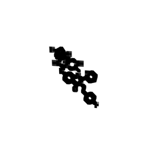 C[C@H]1CN(C(=Nc2ccc3c(=O)n(CCc4ccc(F)cc4)c(-c4ccccn4)nc3c2)NC2C[C@@H]3C[C@@H]([C@H]2C)C3(C)C)CCN1